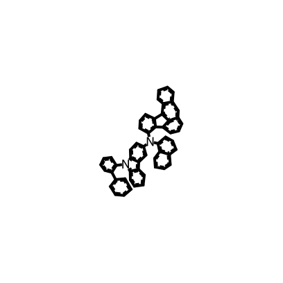 c1ccc(-c2ccccc2-n2c3ccccc3c3cc(N(c4cccc5c4-c4cccc6cc7ccccc7c-5c46)c4cccc5ccccc45)ccc32)cc1